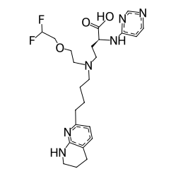 O=C(O)[C@H](CCN(CCCCc1ccc2c(n1)NCCC2)CCOCC(F)F)Nc1ccncn1